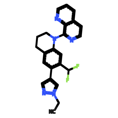 N#CCn1cc(-c2cc3c(cc2C(F)F)N(c2nccc4cccnc24)CCC3)cn1